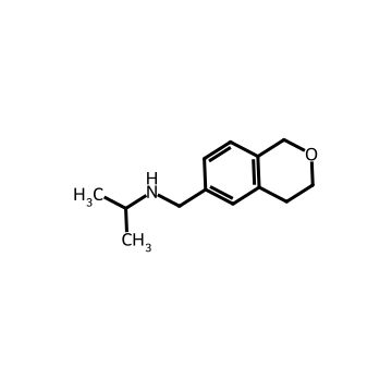 CC(C)NCc1ccc2c(c1)CCOC2